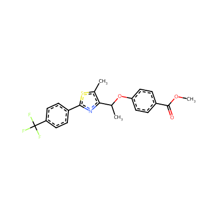 COC(=O)c1ccc(OC(C)c2nc(-c3ccc(C(F)(F)F)cc3)sc2C)cc1